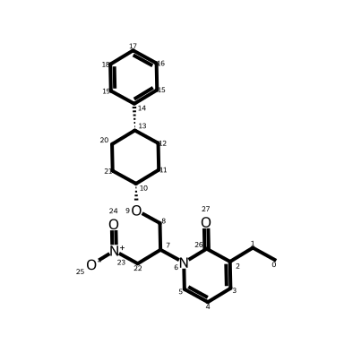 CCc1cccn(C(CO[C@H]2CC[C@@H](c3ccccc3)CC2)C[N+](=O)[O-])c1=O